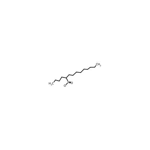 CCCCCCCCCC(CCCC)[N+](=O)[O-]